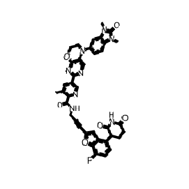 Cc1cc(-c2ncc3c(n2)OCCN3c2ccc3c(c2)n(C)c(=O)n3C)cnc1C(=O)NCC#Cc1cc2c(C3CCC(=O)NC3=O)ccc(F)c2o1